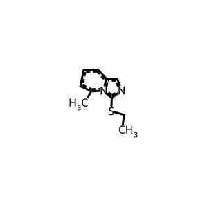 CCSc1ncc2cccc(C)n12